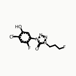 O=c1n(CCCF)nnn1-c1cc(O)c(Cl)cc1F